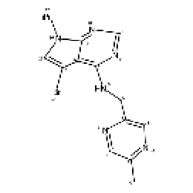 Cc1cnc(CNc2ncnc3c2c(Br)cn3C(C)C)cn1